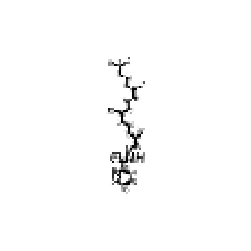 CC(C)=CCCC(C)=CCCC(C)=CCCC(C)=CCNC(=O)c1ccccn1